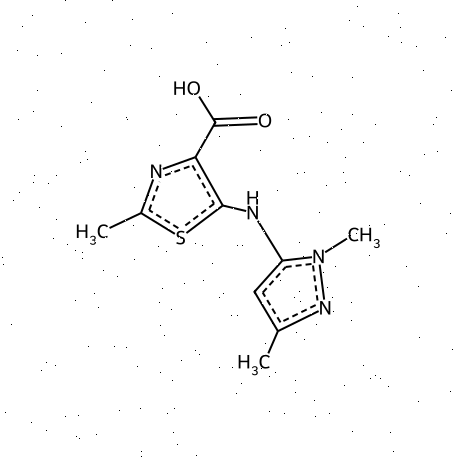 Cc1cc(Nc2sc(C)nc2C(=O)O)n(C)n1